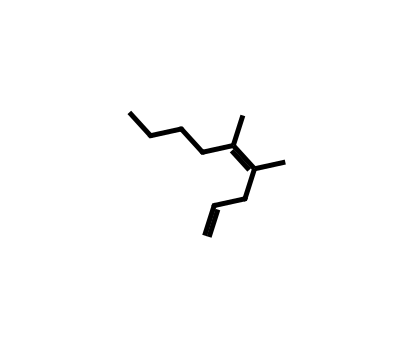 C=CCC(C)=C(C)CCCC